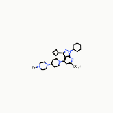 CC(C)N1CCN(C2CCN(c3cc(C(=O)O)nc4c3c(C3CCC3)nn4C3CCCCC3)CC2)CC1